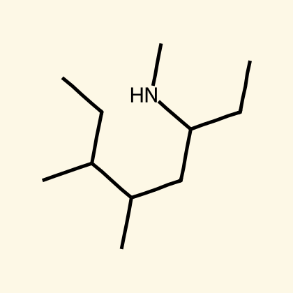 CCC(CC(C)C(C)CC)NC